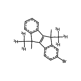 [2H]C([2H])([2H])C1(C)C2=C(c3ccccc31)C(C)(C([2H])([2H])[2H])c1cc(Br)ccc12